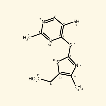 Cc1ncc(S)c(Sc2nc(C)c(CC(=O)O)s2)n1